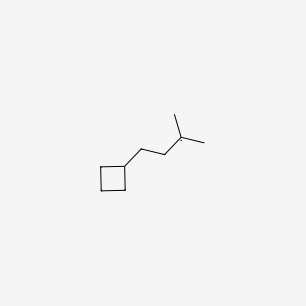 C[C](C)CCC1CCC1